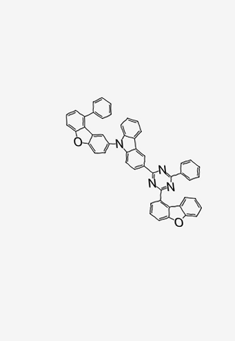 c1ccc(-c2nc(-c3ccc4c(c3)c3ccccc3n4-c3ccc4oc5cccc(-c6ccccc6)c5c4c3)nc(-c3cccc4oc5ccccc5c34)n2)cc1